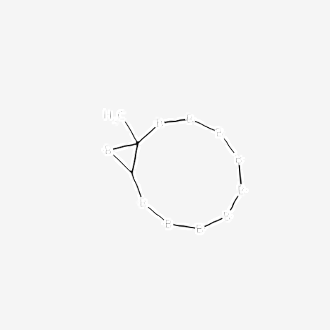 CC12[B][B][B][B][B][B][B][B][B]C1[B]2